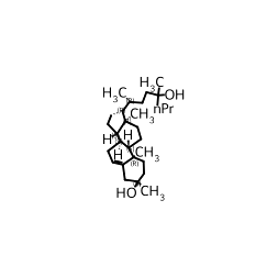 CCCC(C)(O)CC[C@@H](C)[C@H]1CC[C@H]2[C@@H]3CC=C4C[C@@](C)(O)CC[C@]4(C)[C@H]3CC[C@]12C